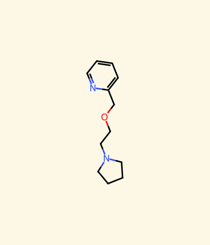 c1ccc(COCCN2CCCC2)nc1